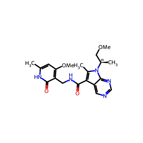 COC[C@@H](C)n1c(C)c(C(=O)NCc2c(OC)cc(C)[nH]c2=O)c2cncnc21